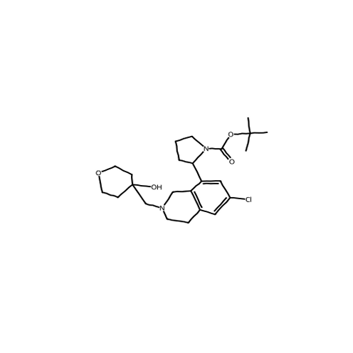 CC(C)(C)OC(=O)N1CCCC1c1cc(Cl)cc2c1CN(CC1(O)CCOCC1)CC2